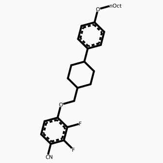 CCCCCCCCOc1ccc(C2CCC(COc3ccc(C#N)c(F)c3F)CC2)cc1